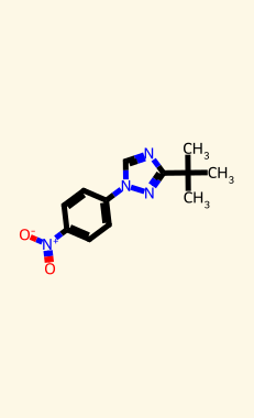 CC(C)(C)c1ncn(-c2ccc([N+](=O)[O-])cc2)n1